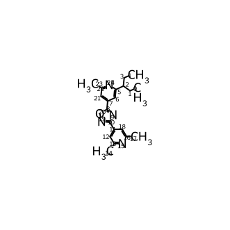 CCC(CC)c1cc(-c2nc(-c3cc(C)nc(C)c3)no2)cc(C)n1